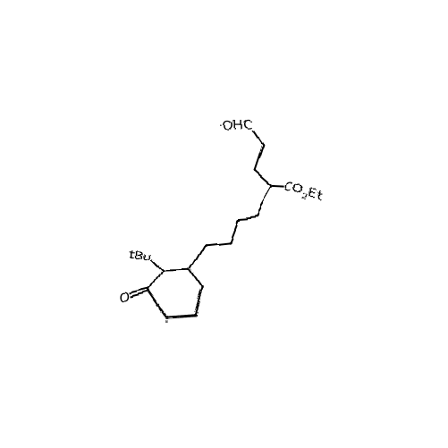 CCOC(=O)C(CC[C]=O)CCCCC1CC[CH]C(=O)C1C(C)(C)C